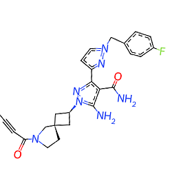 CC#CC(=O)N1CC[C@]2(C1)C[C@H](n1nc(-c3ccn(Cc4ccc(F)cc4)n3)c(C(N)=O)c1N)C2